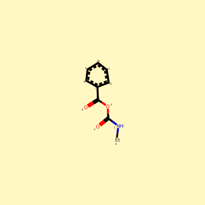 CCNC(=O)OC(=O)c1ccccc1